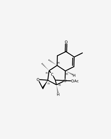 CC(=O)OC1C[C@]2(C)[C@@]3(C)CC(=O)C(C)=C[C@H]3O[C@H]1[C@@]21CO1